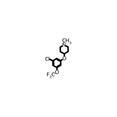 CN1CCC(Oc2cc(Cl)cc(OC(F)(F)F)c2)CC1